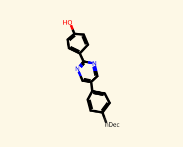 CCCCCCCCCCc1ccc(-c2cnc(-c3ccc(O)cc3)nc2)cc1